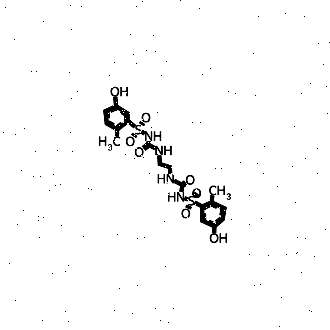 Cc1ccc(O)cc1S(=O)(=O)NC(=O)NCCNC(=O)NS(=O)(=O)c1cc(O)ccc1C